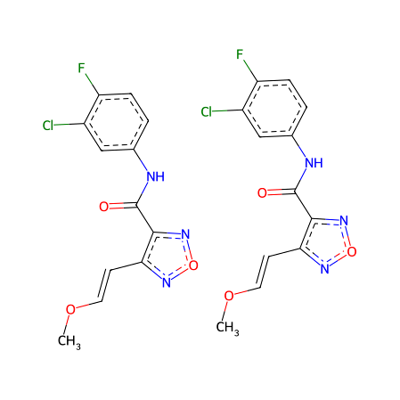 COC=Cc1nonc1C(=O)Nc1ccc(F)c(Cl)c1.COC=Cc1nonc1C(=O)Nc1ccc(F)c(Cl)c1